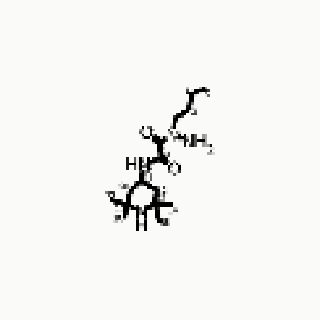 CCCCN(N)C(=O)C(=O)NC1CC(C)(C)NC(C)(C)C1